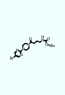 CC(C)(C)OC(=O)NCCCC(=O)N1CCN(c2ncc(Br)cn2)CC1